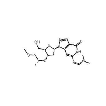 CSS[C@@H](C)O[C@@H]1C[C@H](n2ncc3c(=O)[nH]c(/N=C\N(C)C)nc32)O[C@@H]1CO